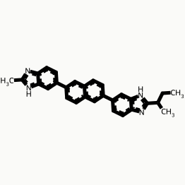 CCC(C)c1nc2ccc(-c3ccc4cc(-c5ccc6nc(C)[nH]c6c5)ccc4c3)cc2[nH]1